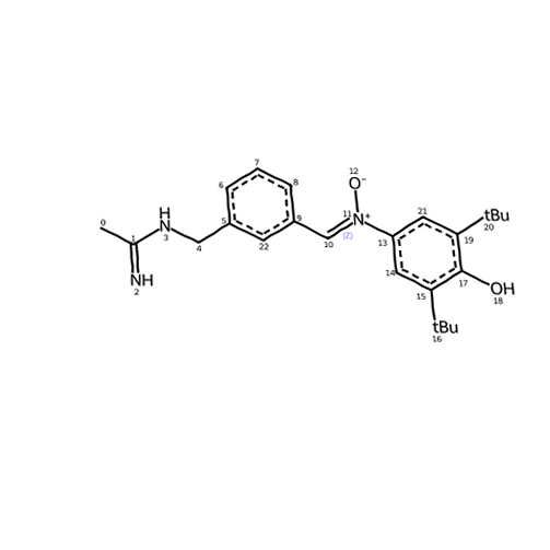 CC(=N)NCc1cccc(/C=[N+](\[O-])c2cc(C(C)(C)C)c(O)c(C(C)(C)C)c2)c1